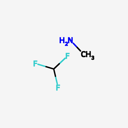 CN.FC(F)F